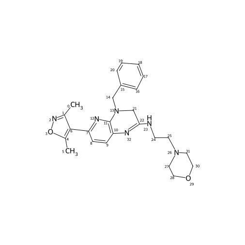 Cc1noc(C)c1-c1ccc2c(n1)N(Cc1ccccc1)CC(NCCN1CCOCC1)=N2